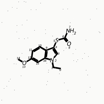 CCn1cc(SC(N)=O)c2ccc(OC)cc21